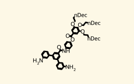 CCCCCCCCCCCCOc1cc(C(=O)Oc2ccc(NC(=O)c3cc(-c4cccc(N)c4)cc(-c4cccc(N)c4)c3)cc2)cc(OCCCCCCCCCCCC)c1OCCCCCCCCCCCC